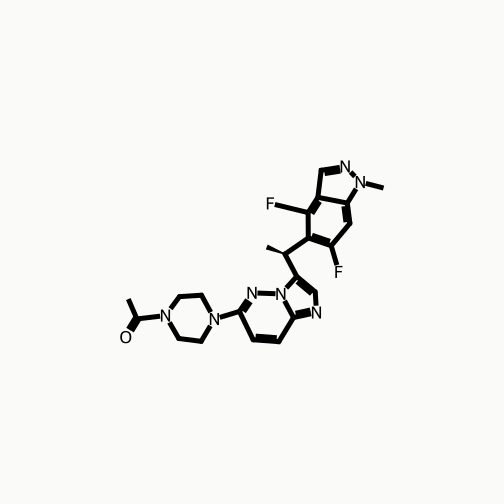 CC(=O)N1CCN(c2ccc3ncc([C@@H](C)c4c(F)cc5c(cnn5C)c4F)n3n2)CC1